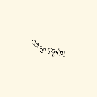 O=C1CCC(N2Cc3ccc(CNC(=O)OCc4cc5n(n4)CCCC5)c(F)c3C2=O)C(=O)N1